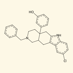 Oc1cccc(C23CCN(Cc4ccccc4)CC2Cc2c([nH]c4ccc(Cl)cc24)C3)c1